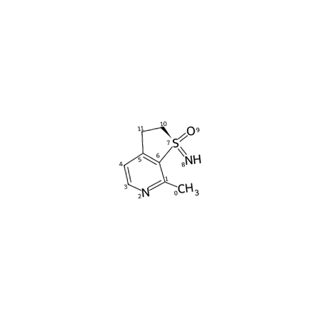 Cc1nccc2c1[S@@](=N)(=O)CC2